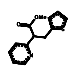 COC(=O)C(Cc1cccs1)c1ccccn1